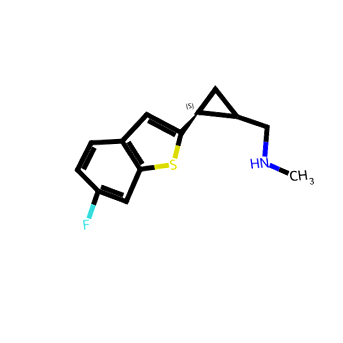 CNCC1C[C@@H]1c1cc2ccc(F)cc2s1